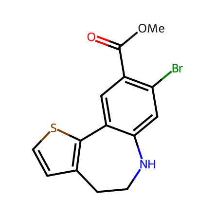 COC(=O)c1cc2c(cc1Br)NCCc1ccsc1-2